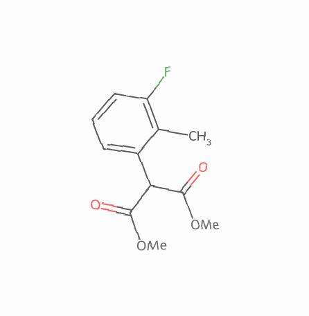 COC(=O)C(C(=O)OC)c1cccc(F)c1C